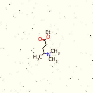 CCOC(=O)[CH]CC(C)N(C)C